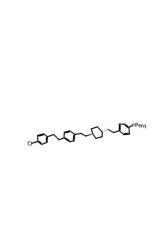 CCCCCc1ccc(CC[C@H]2CC[C@H](CCc3ccc(CCc4ccc(Cl)cc4)cc3)CC2)cc1